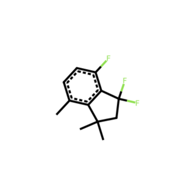 Cc1ccc(F)c2c1C(C)(C)CC2(F)F